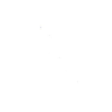 CC(=O)NCC(Cc1ccc(C#Cc2ccc(CN3CCOCC3)cc2)cc1)n1cncc(O)c1=O